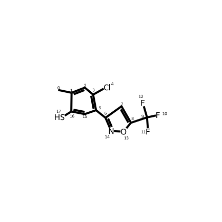 Cc1cc(Cl)c(-c2cc(C(F)(F)F)on2)cc1S